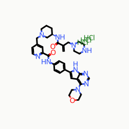 C=C(CN1CCNCC1)C(=O)N[C@@H]1CCCN(Cc2ccnc(C(=O)Nc3ccc(-c4cc5c(N6CCOCC6)ncnc5[nH]4)cc3)c2)C1.Cl.Cl.Cl